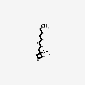 CCCCCCCCC1(N)CCC1